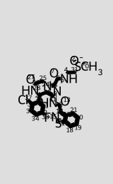 C[S+]([O-])CCNC(=O)c1nc(NC(=O)c2nsc3ccccc23)c2n1CC(=O)NC2c1cc(F)ccc1Cl